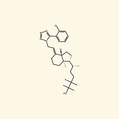 C[C@H](CCC(F)(F)C(C)(C)O)[C@H]1CC[C@H]2/C(=C/Cn3nnnc3-c3ccccc3Cl)CCC[C@]12C